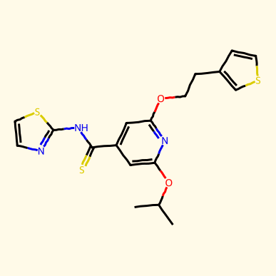 CC(C)Oc1cc(C(=S)Nc2nccs2)cc(OCCc2ccsc2)n1